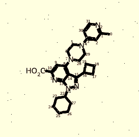 Cc1cc(N2CCN(c3cc(C(=O)O)nc4c3c(C3CCC3)nn4C3CCCCC3)CC2)ccn1